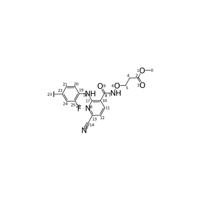 COC(=O)CCONC(=O)c1ccc(C#N)nc1Nc1ccc(I)cc1F